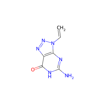 C=Cn1nnc2c(=O)[nH]c(N)nc21